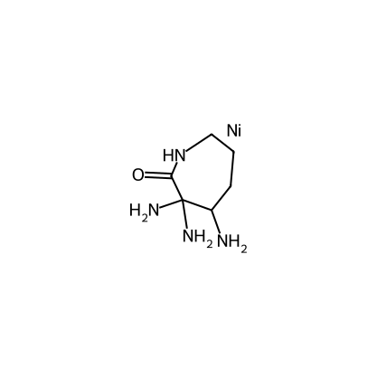 NC1CCCNC(=O)C1(N)N.[Ni]